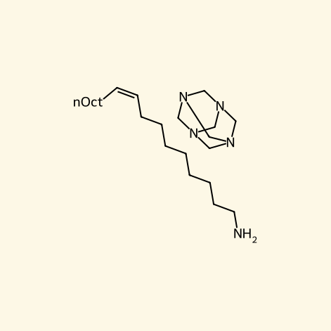 C1N2CN3CN1CN(C2)C3.CCCCCCCC/C=C\CCCCCCCCN